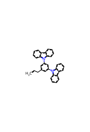 C=CCc1cc(-n2c3ccccc3c3ccccc32)cc(-n2c3ccccc3c3ccccc32)c1